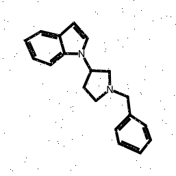 c1ccc(CN2CCC(n3ccc4ccccc43)C2)cc1